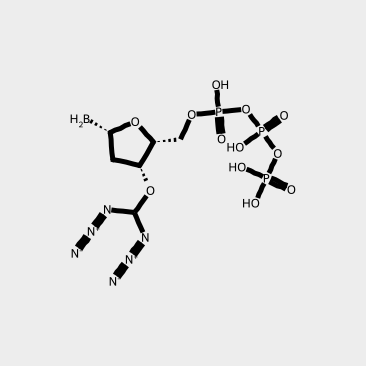 B[C@H]1C[C@@H](OC(N=[N+]=[N-])N=[N+]=[N-])[C@@H](COP(=O)(O)OP(=O)(O)OP(=O)(O)O)O1